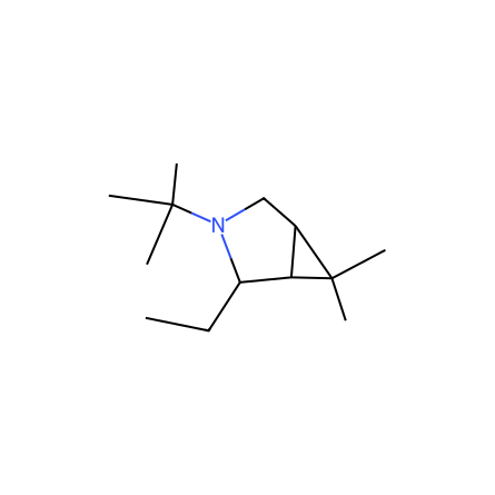 CCC1C2C(CN1C(C)(C)C)C2(C)C